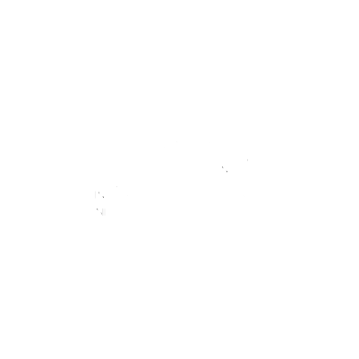 CC(C(=O)NN)c1ccc(OCCc2coc(-c3ccccc3)n2)cc1